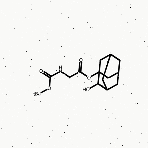 CC(C)(C)OC(=O)NCC(=O)OC12CC3CC(CC(C3)C1O)C2